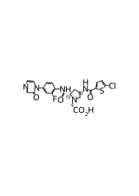 O=C(O)CN1C[C@@H](NC(=O)c2ccc(Cl)s2)C[C@H]1C(=O)Nc1ccc(-n2ccncc2=O)cc1F